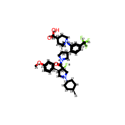 CC[C@H]1CN(C(=O)[C@]2(F)CN([C@H]3CC[C@H](C)CC3)C[C@H]2c2ccc(OC)cc2)C[C@@H]1c1ccc(C(F)(F)F)cc1N1CCC(C(=O)O)CC1